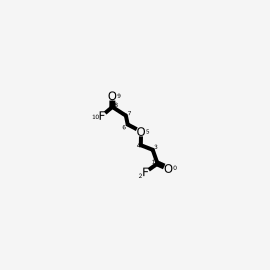 O=C(F)CCOCCC(=O)F